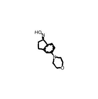 ON=C1CCc2cc(N3CCOCC3)ccc21